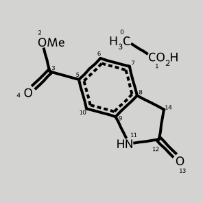 CC(=O)O.COC(=O)c1ccc2c(c1)NC(=O)C2